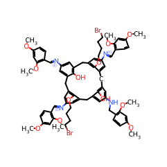 COc1ccc(/C=N/c2cc3c(O)c(c2)Cc2cc(/N=C/c4ccc(OC)cc4OC)cc(c2OCCCCBr)Cc2cc(NCc4ccc(OC)cc4OC)cc(c2O)Cc2cc(/N=C/c4ccc(OC)cc4OC)cc(c2OCCCCBr)C3)c(OC)c1